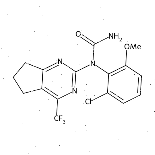 COc1cccc(Cl)c1N(C(N)=O)c1nc2c(c(C(F)(F)F)n1)CCC2